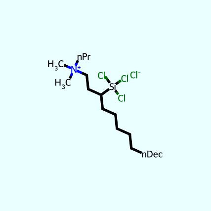 CCCCCCCCCCCCCCCC(CC[N+](C)(C)CCC)[Si](Cl)(Cl)Cl.[Cl-]